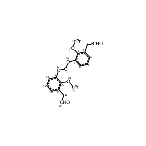 CCCOc1c(CC=O)cccc1OOOc1cccc(CC=O)c1OCCC